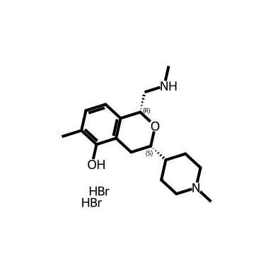 Br.Br.CNC[C@@H]1O[C@H](C2CCN(C)CC2)Cc2c1ccc(C)c2O